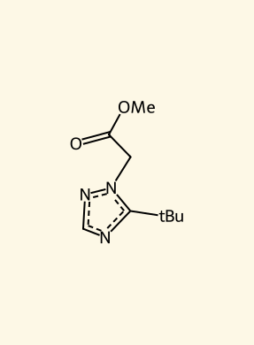 COC(=O)Cn1ncnc1C(C)(C)C